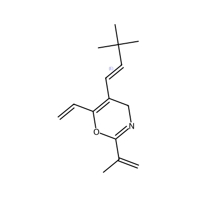 C=CC1=C(/C=C/C(C)(C)C)CN=C(C(=C)C)O1